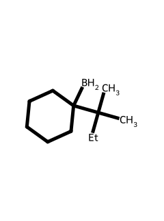 BC1(C(C)(C)CC)CCCCC1